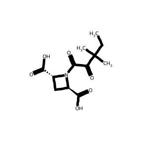 CCC(C)(C)C(=O)C(=O)N1[C@@H](C(=O)O)C[C@@H]1C(=O)O